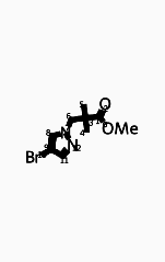 COC(=O)C(C)(C)Cn1cc(Br)cn1